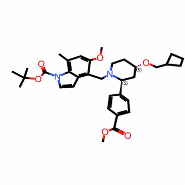 COC(=O)c1ccc([C@@H]2C[C@@H](OCC3CCC3)CCN2Cc2c(OC)cc(C)c3c2ccn3C(=O)OC(C)(C)C)cc1